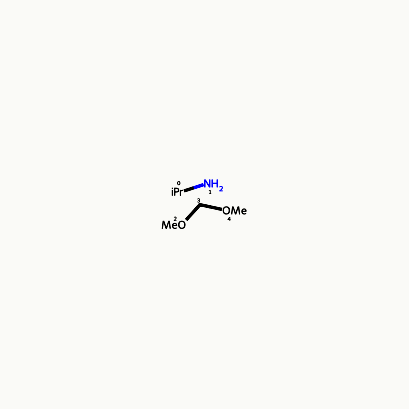 CC(C)N.COCOC